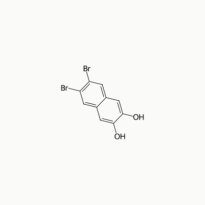 Oc1cc2cc(Br)c(Br)cc2cc1O